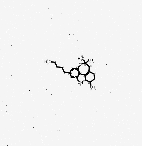 CCCCCc1cc(O)c2c(c1)OC(C)(C)CC1=C2CC(C)CC1